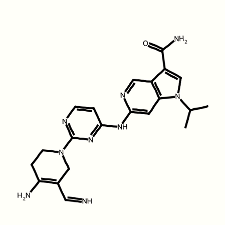 CC(C)n1cc(C(N)=O)c2cnc(Nc3ccnc(N4CCC(N)=C(C=N)C4)n3)cc21